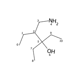 CCC(CN)C(O)(CC)CC